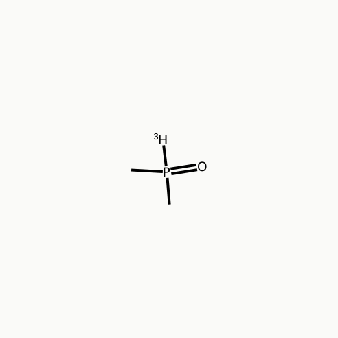 [3H]P(C)(C)=O